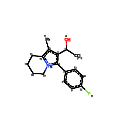 CC(C)c1c(C(O)C(Cl)(Cl)Cl)c(-c2ccc(F)cc2)n2c1CCCC2